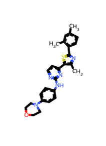 Cc1ccc(-c2nc(C)c(-c3ccnc(Nc4ccc(N5CCOCC5)cc4)n3)s2)c(C)c1